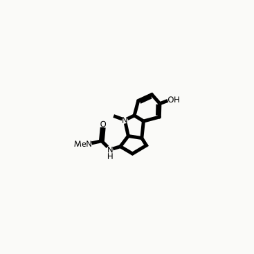 CNC(=O)NC1CCC2C3C=C(O)C=CC3N(C)C12